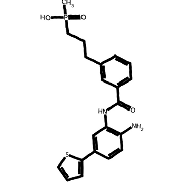 CP(=O)(O)CCCc1cccc(C(=O)Nc2cc(-c3cccs3)ccc2N)c1